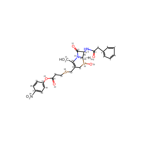 O=C(Cc1ccccc1)N[C@@H]1C(=O)N2C(C(=O)O)=C(CSCCC(=O)Oc3ccc([N+](=O)[O-])cc3)C[S+]([O-])[C@H]12